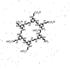 NCCNc1nc(NCCNc2nc(NCCNc3nc(NCCNc4nc(NCCNc5nc(NCCNc6nc(N)nc(NCCC(=O)O)n6)nc(NCCC(=O)O)n5)nc(NCCC(=O)O)n4)nc(NCCC(=O)O)n3)nc(NCCC(=O)O)n2)nc(NCCC(=O)O)n1